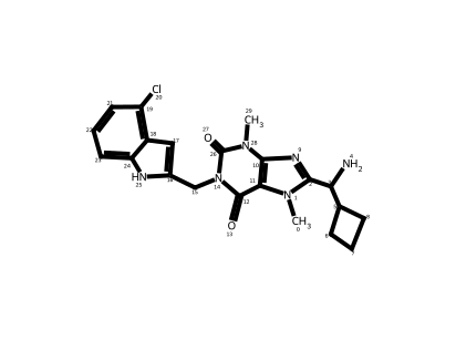 Cn1c(C(N)C2CCC2)nc2c1c(=O)n(Cc1cc3c(Cl)cccc3[nH]1)c(=O)n2C